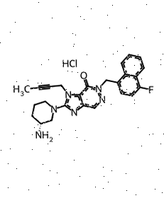 CC#CCn1c(N2CCC[C@@H](N)C2)nc2cnn(Cc3ccc(F)c4ccccc34)c(=O)c21.Cl